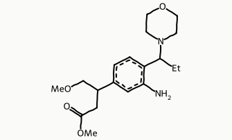 CCC(c1ccc(C(COC)CC(=O)OC)cc1N)N1CCOCC1